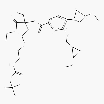 CCOC(=O)C(CC)(CCOCCNC(=O)OC(C)(C)C)NC(=O)c1ccc(N2CC(OC)C2)c(OC[C@H]2C[C@@H]2CO)n1